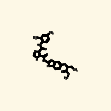 CCC(Oc1ccc2[nH]c(NC(=O)c3[nH]cnc3C(=O)Nc3ccc(C)cc3C)nc2c1)C(=O)OC